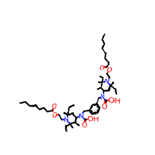 CCCCCCCC(=O)OCCN1C(C)(CC)CC(N(Cc2cccc(CN(C(=O)O)C3CC(C)(CC)N(CCOC(=O)CCCCCCC)C(C)(CC)C3C)c2)C(=O)O)C(C)C1(C)CC